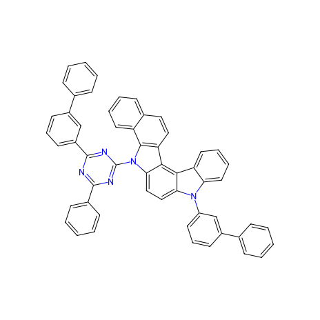 c1ccc(-c2cccc(-c3nc(-c4ccccc4)nc(-n4c5ccc6c(c7ccccc7n6-c6cccc(-c7ccccc7)c6)c5c5ccc6ccccc6c54)n3)c2)cc1